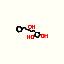 O[C@@H](CCc1ccccc1)CC[C@H]1[CH][C@H](O)C[C@H]1O